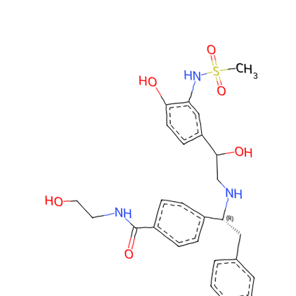 CS(=O)(=O)Nc1cc(C(O)CN[C@H](Cc2ccccc2)c2ccc(C(=O)NCCO)cc2)ccc1O